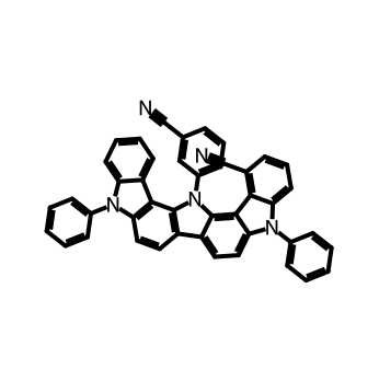 N#Cc1cccc(-n2c3c(ccc4c3c3ccccc3n4-c3ccccc3)c3ccc4c(c5c(C#N)cccc5n4-c4ccccc4)c32)c1